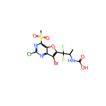 CC(NC(=O)O)C(F)(F)c1oc2c(S(C)(=O)=O)nc(Cl)nc2c1Br